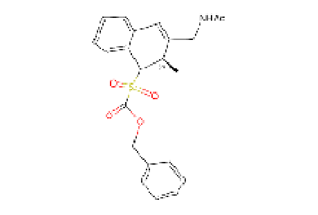 CC(=O)NCC1=Cc2ccccc2C(S(=O)(=O)C(=O)OCc2ccccc2)[C@@H]1C